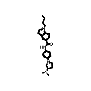 CCCCn1ccc2cc(C(=O)Nc3ccc(N4CCC(N(C)C)C4)cc3)ccc21